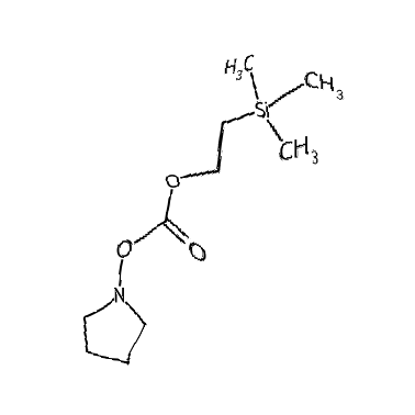 C[Si](C)(C)CCOC(=O)ON1CCCC1